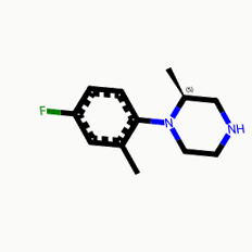 Cc1cc(F)ccc1N1CCNC[C@@H]1C